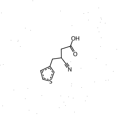 N#CC(CC(=O)O)Cc1ccsc1